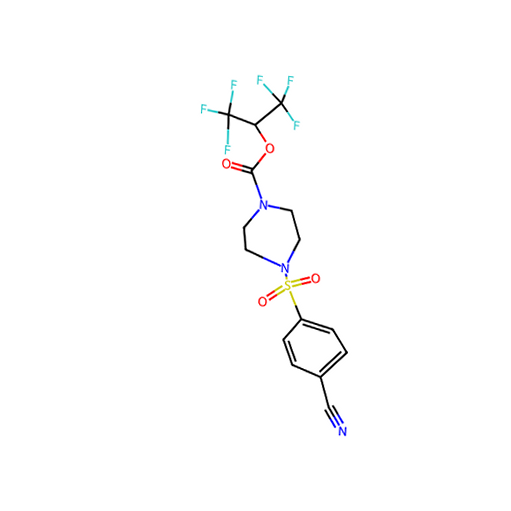 N#Cc1ccc(S(=O)(=O)N2CCN(C(=O)OC(C(F)(F)F)C(F)(F)F)CC2)cc1